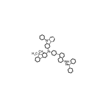 CC1(C)c2ccccc2-c2ccc(N(c3ccc(-c4cccc5c(NN=C(c6ccccc6)c6ccccc6)cccc45)cc3)c3ccc4c(c3)C3C=CC=CC3N4c3ccccc3)cc21